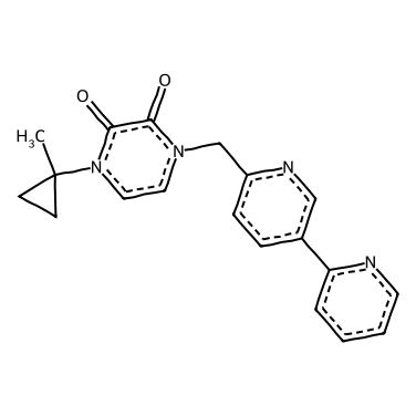 CC1(n2ccn(Cc3ccc(-c4ccccn4)cn3)c(=O)c2=O)CC1